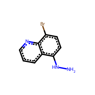 NNc1ccc(Br)c2ncccc12